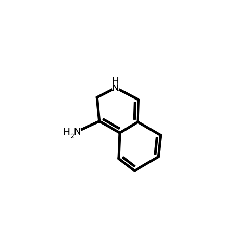 NC1=c2ccccc2=CNC1